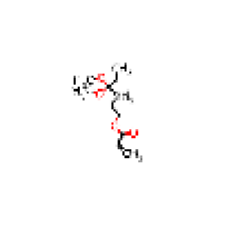 C=CC(=O)OCC[SiH2]C(CC)(OC)OC